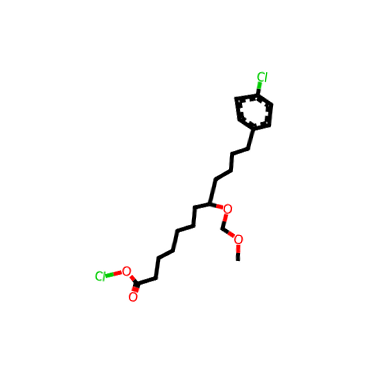 COCOC(CCCCCCC(=O)OCl)CCCCc1ccc(Cl)cc1